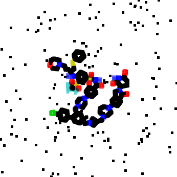 C[C@@]1(CN2CC(CN3CCCN(c4ccc5c(c4)CN(C4CCC(=O)NC4=O)C5=O)CC3)C2)CCC(c2ccc(Cl)cc2)=C(CN2CCN(c3ccc(C(=O)NS(=O)(=O)c4ccc(N[C@H](CCN5CCCOCC5)CSc5ccccc5)c(S(=O)(=O)C(F)(F)F)c4)cc3)CC2)C1